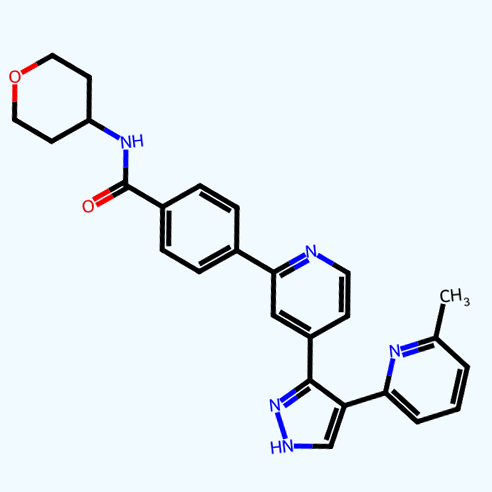 Cc1cccc(-c2c[nH]nc2-c2ccnc(-c3ccc(C(=O)NC4CCOCC4)cc3)c2)n1